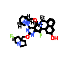 C=C(CC)c1cccc2cc(O)cc(-c3nc4c5c(nc(OC[C@@]67CCCN6C[C@@H](F)C7)nc5c3F)N3C[C@H]5CC[C@H](N5)[C@@H]3CO4)c12